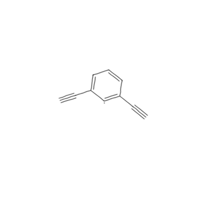 C#Cc1[c]c(C#C)ccc1